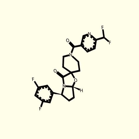 O=C(c1ccc(C(F)F)nc1)N1CCC2(CC1)O[C@@H]1CC[C@@H](c3cc(F)cc(F)c3)N1C2=O